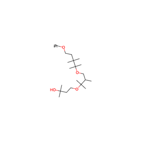 CC(C)OCCC(C)(C)C(C)(C)OCC(C)C(C)(C)OCCC(C)(C)O